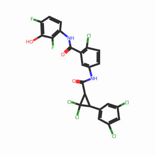 O=C(Nc1ccc(F)c(O)c1F)c1cc(NC(=O)C2C(c3cc(Cl)cc(Cl)c3)C2(Cl)Cl)ccc1Cl